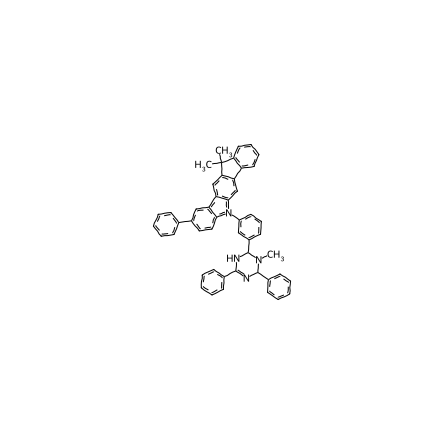 CN1C(c2ccccc2)N=C(c2ccccc2)NC1c1cccc(-n2c3ccc(-c4ccccc4)cc3c3cc4c(cc32)-c2ccccc2C4(C)C)c1